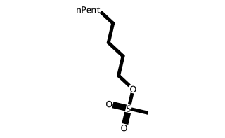 CCCCCCCCCOS(C)(=O)=O